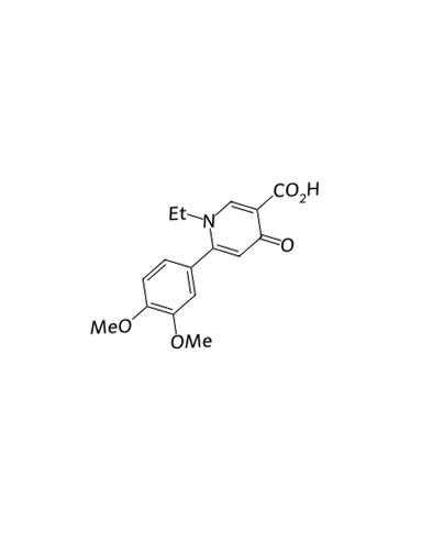 CCn1cc(C(=O)O)c(=O)cc1-c1ccc(OC)c(OC)c1